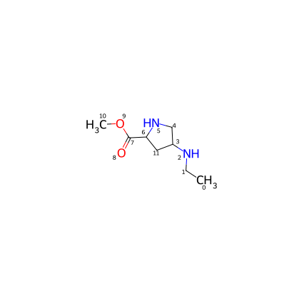 CCNC1CNC(C(=O)OC)C1